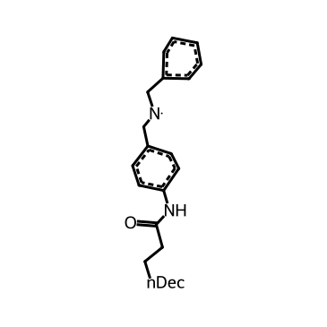 CCCCCCCCCCCCC(=O)Nc1ccc(C[N]Cc2ccccc2)cc1